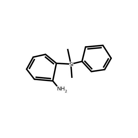 C[Si](C)(c1ccccc1)c1ccccc1N